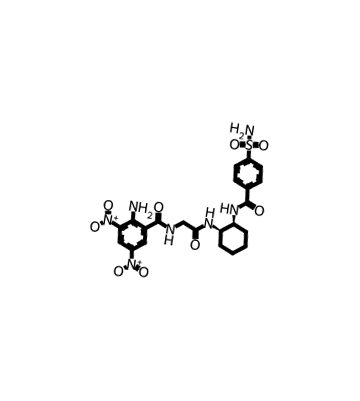 Nc1c(C(=O)NCC(=O)N[C@@H]2CCCC[C@@H]2NC(=O)c2ccc(S(N)(=O)=O)cc2)cc([N+](=O)[O-])cc1[N+](=O)[O-]